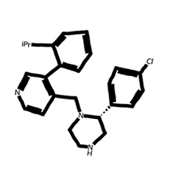 CC(C)c1ccccc1-c1cnccc1CN1CCNC[C@H]1c1ccc(Cl)cc1